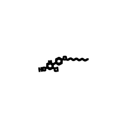 CCCCCCCCOc1ccc(-c2ncc(O)cc2Cl)cc1